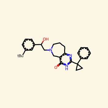 CC(C)(C)c1cccc(C(O)CN2CCCc3nc(C4(c5ccccc5)CC4)[nH]c(=O)c3C2)c1